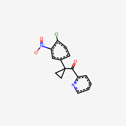 O=C(c1ccccn1)C1(c2ccc(Cl)c([N+](=O)[O-])c2)CC1